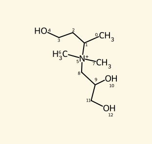 CC(CCO)[N+](C)(C)CC(O)CO